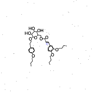 CCCCOc1ccc(CCOC2OC(COC(=O)/C=C/c3ccc(OCCCC)c(OCCCC)c3)C(O)C(O)C2O)cc1